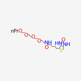 CCCOCCOCCOCCOCCNC(=O)CCCCC1SCC2NC(=O)NC21